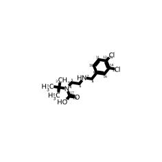 CC(C)(C)N(CCNCc1ccc(Cl)c(Cl)c1)C(=O)O